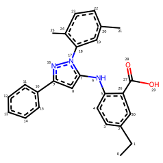 CCc1ccc(Nc2cc(-c3ccccc3)nn2-c2cc(C)ccc2C)c(C(=O)O)c1